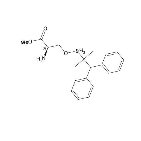 COC(=O)[C@H](N)CO[SiH2]C(C)(C)C(c1ccccc1)c1ccccc1